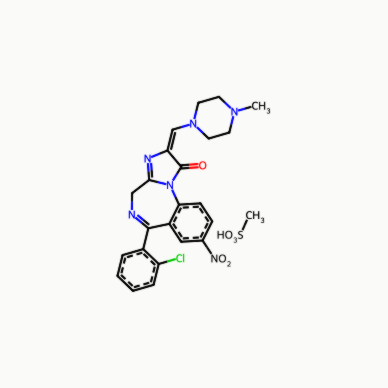 CN1CCN(C=C2N=C3CN=C(c4ccccc4Cl)c4cc([N+](=O)[O-])ccc4N3C2=O)CC1.CS(=O)(=O)O